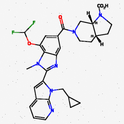 Cn1c(-c2cc3cccnc3n2CC2CC2)nc2cc(C(=O)N3CC[C@H]4CCN(C(=O)O)[C@H]4C3)cc(OC(F)F)c21